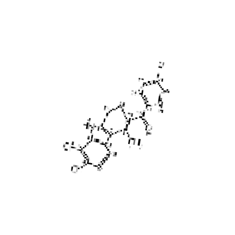 CC1c2c([nH]c3c(Cl)c(Cl)ccc23)CCN1C(=O)c1ncc(F)cn1